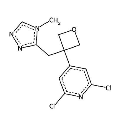 Cn1cnnc1CC1(c2cc(Cl)nc(Cl)c2)COC1